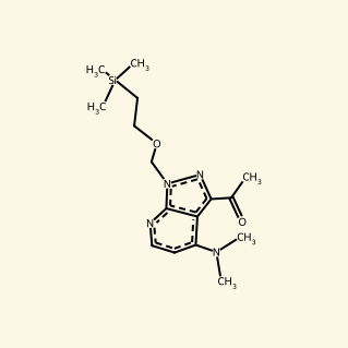 CC(=O)c1nn(COCC[Si](C)(C)C)c2nccc(N(C)C)c12